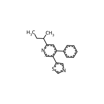 CCC(C)c1cc(-c2ccccc2)c(-c2cncs2)[c]n1